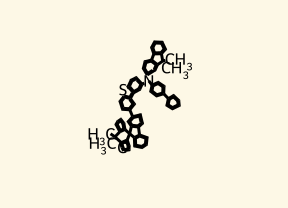 CC1(C)c2ccccc2-c2ccc(N(c3ccc(-c4ccccc4)cc3)c3ccc4sc5ccc(-c6ccc7c(c6)C6(c8ccccc8-7)c7ccccc7C(C)(C)c7ccccc76)cc5c4c3)cc21